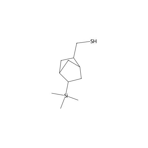 C[Si](C)(C)C1CC2CC1CC2CS